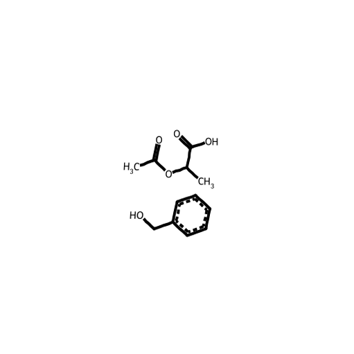 CC(=O)OC(C)C(=O)O.OCc1ccccc1